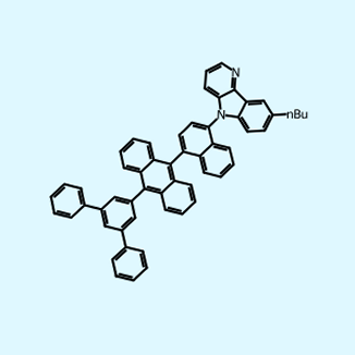 CCCCc1ccc2c(c1)c1ncccc1n2-c1ccc(-c2c3ccccc3c(-c3cc(-c4ccccc4)cc(-c4ccccc4)c3)c3ccccc23)c2ccccc12